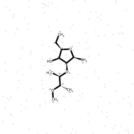 B[C@@H]1O[C@H](CC)C(O)[C@@H]1O[C@H](C)[C@H](C)OC